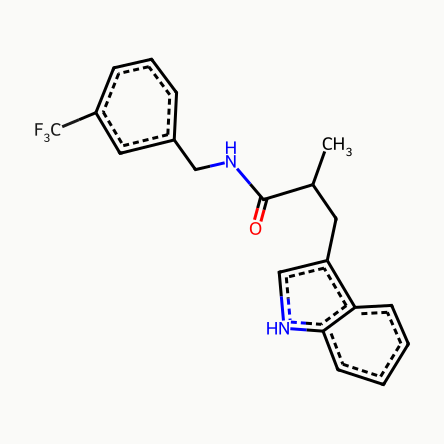 CC(Cc1c[nH]c2ccccc12)C(=O)NCc1cccc(C(F)(F)F)c1